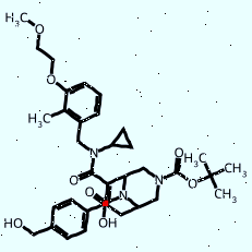 COCCOc1cccc(CN(C(=O)C2=C(c3ccc(CO)cc3)CC3CN(C(=O)OC(C)(C)C)CC2N3C(=O)O)C2CC2)c1C